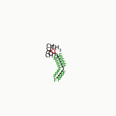 CCC(CC)[C@@](C)(CC)OCCC(F)(F)C(F)(F)C(F)(F)C(F)(F)C(F)(F)CC(F)(F)C(F)(F)C(F)(F)C(F)(F)F